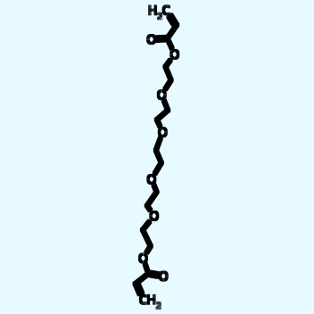 C=CC(=O)OCCOCCOCCOCCOCCOC(=O)C=C